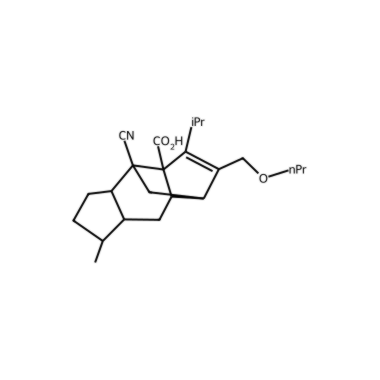 CCCOCC1=C(C(C)C)C2(C(=O)O)C3CC4C(C)CCC4C2(C#N)CC13